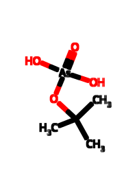 CC(C)(C)O[As](=O)(O)O